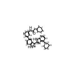 O=C(CC1CCCCC1)Nc1cncc(-c2ccc3[nH]nc(-c4nc5c(N6CCCCC6)ccnc5[nH]4)c3c2)c1